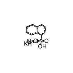 O=S(=O)(O)c1cccc2ccccc12.[KH].[NaH]